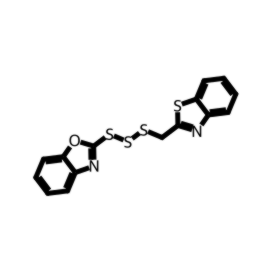 c1ccc2oc(SSSCc3nc4ccccc4s3)nc2c1